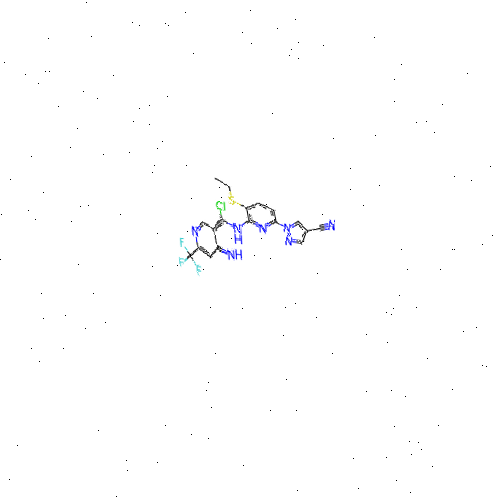 CCSc1ccc(-n2cc(C#N)cn2)nc1N/C(Cl)=C1/C=NC(C(F)(F)F)=CC1=N